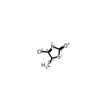 CC1SC(=O)N=C1Cl